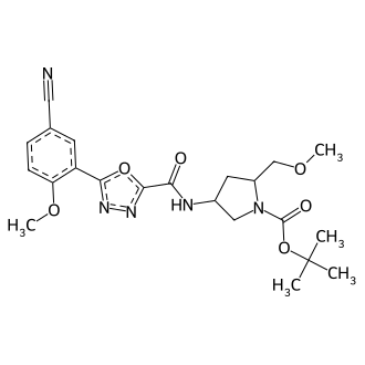 COCC1CC(NC(=O)c2nnc(-c3cc(C#N)ccc3OC)o2)CN1C(=O)OC(C)(C)C